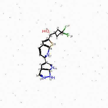 O[C@@H](c1cc2ccc(-c3cnc4[nH]ncc4c3)nc2s1)C1CC(F)(F)C1